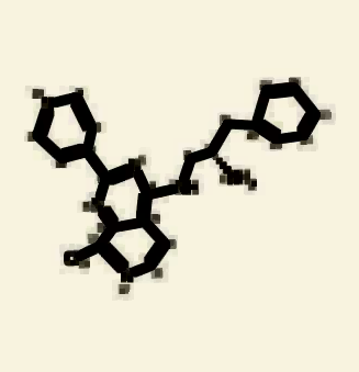 N[C@H](CNc1nc(-c2ccncc2)nc2c(Cl)nccc12)Cc1ccccc1